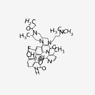 C=CC(=O)N1CC2CN(CCCN(C)C)c3c(c4cc(F)c(-c5c(C)ccc6[nH]c(=O)oc56)c(Cl)c4n(-c4c(C)ccnc4C(C)C)c3=O)N2CC1C